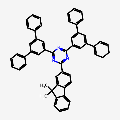 CC1(C)c2ccccc2-c2ccc(-c3nc(-c4cc(C5=CCCC=C5)cc(-c5ccccc5)c4)nc(-c4cc(-c5ccccc5)cc(-c5ccccc5)c4)n3)cc21